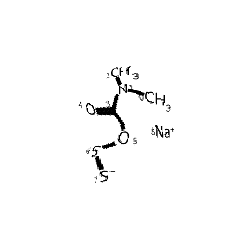 CN(C)C(=O)OS[S-].[Na+]